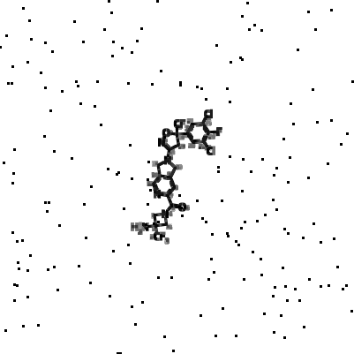 NC1(C(F)(F)F)CN(C(=O)c2cc3c(cn2)CN(C2=NOC(c4cc(Cl)c(F)c(Cl)c4)(C(F)(F)F)C2)C3)C1